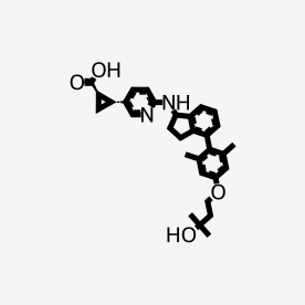 Cc1cc(OCCC(C)(C)O)cc(C)c1-c1cccc2c1CCC2Nc1ccc([C@@H]2C[C@H]2C(=O)O)cn1